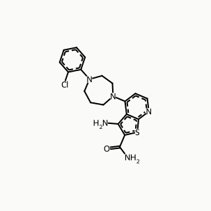 NC(=O)c1sc2nccc(N3CCCN(c4ccccc4Cl)CC3)c2c1N